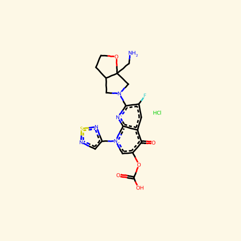 Cl.NCC12CN(c3nc4c(cc3F)c(=O)c(OC(=O)O)cn4-c3cnsn3)CC1CCO2